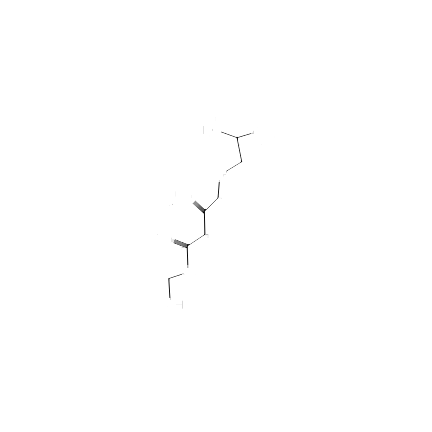 CCOC(=O)CC(=O)COCC(C)C.[Ti]